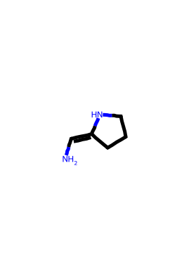 N/C=C1\CCCN1